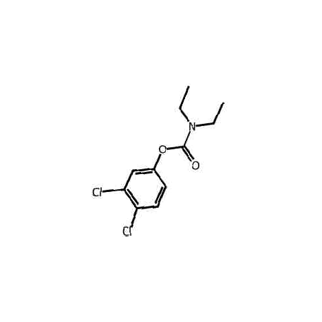 CCN(CC)C(=O)Oc1ccc(Cl)c(Cl)c1